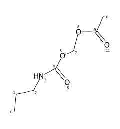 CCCNC(=O)OCOC(C)=O